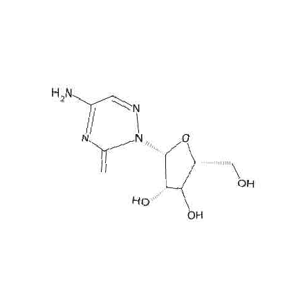 C=C1N=C(N)C=NN1[C@@H]1O[C@H](CO)C(O)[C@@H]1O